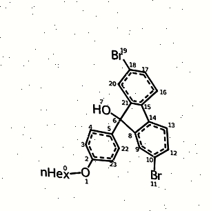 CCCCCCOc1ccc(C2(O)c3cc(Br)ccc3-c3ccc(Br)cc32)cc1